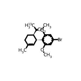 C=C([13CH3])[C@@H]1CCC(C)=C[C@H]1c1c(OC)cc(Br)cc1OC